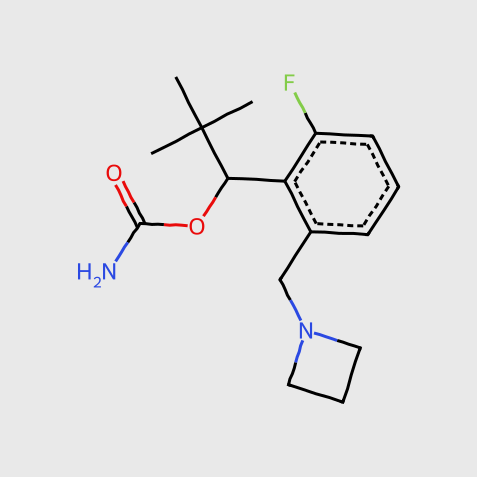 CC(C)(C)C(OC(N)=O)c1c(F)cccc1CN1CCC1